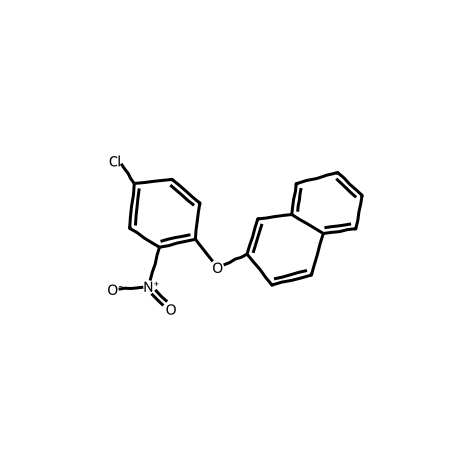 O=[N+]([O-])c1cc(Cl)ccc1Oc1ccc2ccccc2c1